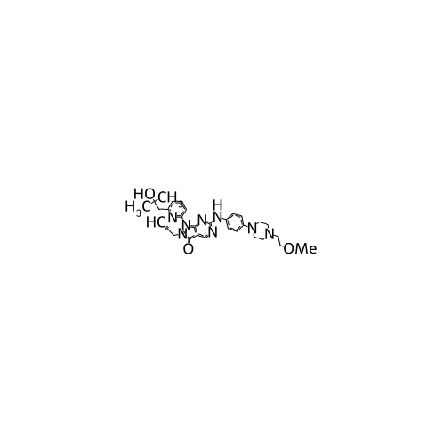 C#CCn1c(=O)c2cnc(Nc3ccc(N4CCN(CCOC)CC4)cc3)nc2n1-c1cccc(CC(C)(C)O)n1